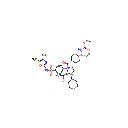 Cc1nc(NS(=O)(=O)c2ccc([N+]3(C(=O)[C@H]4CC[C@H]([C@@H](CF)NC(=O)OC(C)(C)C)CC4)CC[C@@H](C4CCCCC4)[C@H]3C(N)=O)cc2)oc1C